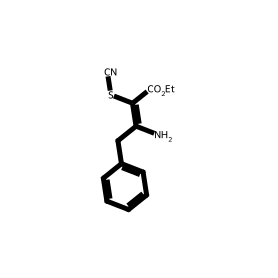 CCOC(=O)/C(SC#N)=C(\N)Cc1ccccc1